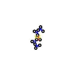 S=P1(c2ccccc2)c2ccc(-n3c4ccccc4c4cc5c6ccccc6n(-c6ccccc6)c5cc43)cc2SC2C=C(n3c4ccccc4c4cc5c6ccccc6n(-c6ccccc6)c5cc43)C=CC21